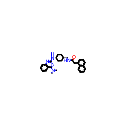 CN(C)c1nc(N[C@H]2CC[C@@H](CNC(=O)Cc3cccc4ccccc34)CC2)nc2ccccc12